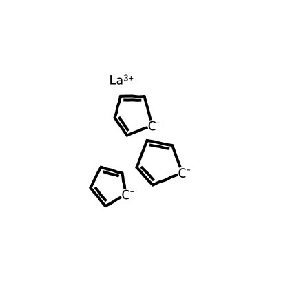 [La+3].c1cc[cH-]c1.c1cc[cH-]c1.c1cc[cH-]c1